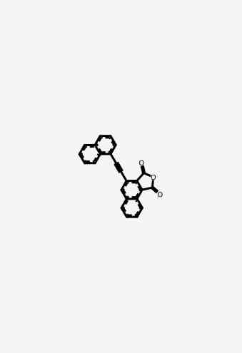 O=C1OC(=O)c2c1c(C#Cc1cccc3ccccc13)cc1ccccc21